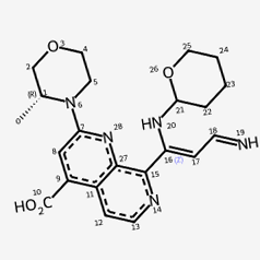 C[C@@H]1COCCN1c1cc(C(=O)O)c2ccnc(/C(=C/C=N)NC3CCCCO3)c2n1